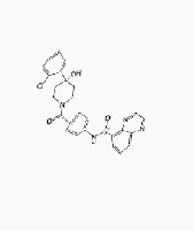 O=C(c1ccc(N[S+]([O-])c2cccc3nccnc23)cc1)N1CCC(O)(c2ccccc2Cl)CC1